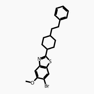 COc1cc2nc(C3CCC(CCc4ccccc4)CC3)sc2cc1Br